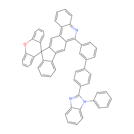 c1ccc(-n2c(-c3ccc(-c4cccc(-c5nc6ccccc6c6cc7c(cc56)-c5ccccc5C75c6ccccc6Oc6ccccc65)c4)cc3)nc3ccccc32)cc1